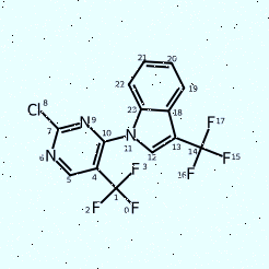 FC(F)(F)c1cnc(Cl)nc1-n1cc(C(F)(F)F)c2ccccc21